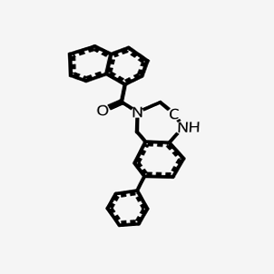 O=C(c1cccc2ccccc12)N1CCNc2ccc(-c3ccccc3)cc2C1